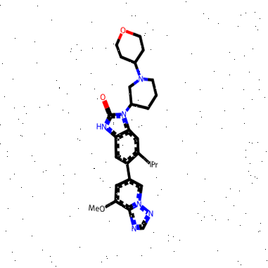 COc1cc(-c2cc3[nH]c(=O)n(C4CCCN(C5CCOCC5)C4)c3cc2C(C)C)cn2ncnc12